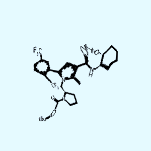 Cc1c(C(=O)N[C@@H]2CCCC[C@H]2O)cc(-c2cc(C(F)(F)F)ccc2C(F)(F)F)n1C[C@H]1CCCN1C(=O)OC(C)(C)C